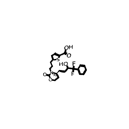 O=C(O)c1ccc(CCCN2C(=O)OCC[C@@H]2C=CC(O)C(F)(F)c2ccccc2)s1